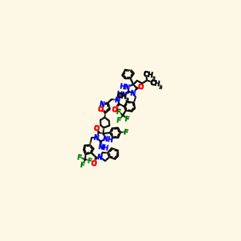 CC(C)CCC1(c2ccccc2)NC(=N)N(Cc2ccc(C(F)(F)F)c(C(=O)N(C)Cc3cc(C4CCC(C5(c6ccc(F)cc6)NC(=N)N(Cc6ccc(C(F)(F)F)c(C(=O)N7Cc8ccccc8C7)c6)C5=O)CC4)on3)c2)C1=O